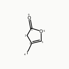 O=C1CC(I)=CO1